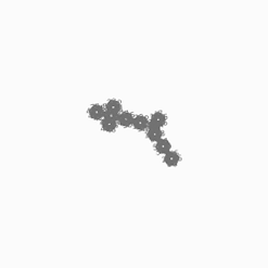 c1ccc(-c2ccc(-c3ccc4c(c3)c3ccccc3n4-c3ccc(-c4ccc(-c5c6ccccc6c(-c6ccccc6)c6ccccc56)cc4)cc3)cc2)cc1